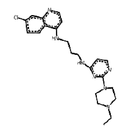 CCN1CCN(c2nccc(NCCCNc3ccnc4cc(Cl)ccc34)n2)CC1